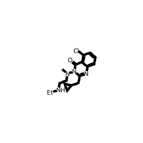 CCNCCN(C)n1c(CC2CC2)nc2cccc(Cl)c2c1=O